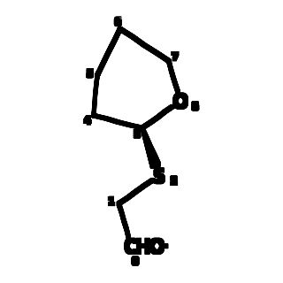 O=[C]CS[C@H]1CCCCO1